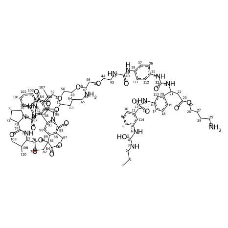 CCCNC(O)Nc1cccc(S(=O)(=O)Nc2cccc(C(CC(=O)OCCCCN)NC(=O)Nc3ccc(NC(=O)NCCOCCOCCOCCC(=O)NC(CC(=O)OCCCCN)C(=O)N4CCCC4C(=O)NC(C(=O)OC4(CC)C(=O)OCc5c4cc4n(c5=O)Cc5c-4nc4ccccc4c5CC)C(C)C)cc3)c2)c1